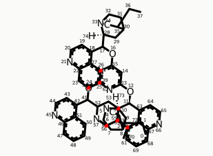 CCC1CCN2CCC1C[C@@H]2[C@@H](Oc1cc(OC(c2ccnc3ccccc23)[C@@H]2CC3CCN2CC3CC)nc(OC(c2ccnc3ccccc23)C2CC3CCN2CC3CC)n1)c1ccnc2ccccc12